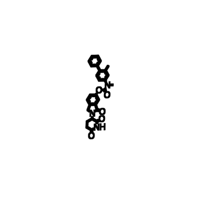 Cc1cc(N(C)C(=O)Oc2ccc3c(c2)C(=O)N(C2CCC(=O)NC2=O)C3)ccc1-c1ccccc1